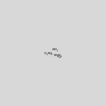 [AlH3].[Cr].[MgH2].[MgH2]